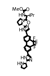 COC(=O)N[C@H](C(=O)N1CCC[C@H]1c1ncc(-c2ccc3c(c2)C(F)(F)C(F)(F)c2cc(-c4cnc([C@@H]5CCCN5)[nH]4)ccc2-3)[nH]1)C(C)C